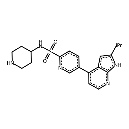 CC(C)c1cc2c(-c3ccc(S(=O)(=O)NC4CCNCC4)nc3)ccnc2[nH]1